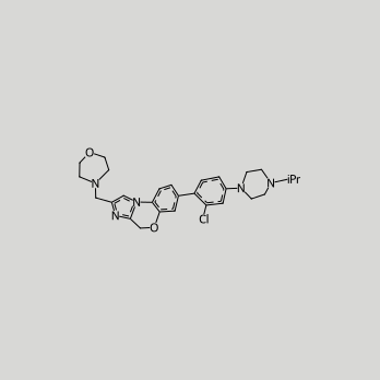 CC(C)N1CCN(c2ccc(-c3ccc4c(c3)OCc3nc(CN5CCOCC5)cn3-4)c(Cl)c2)CC1